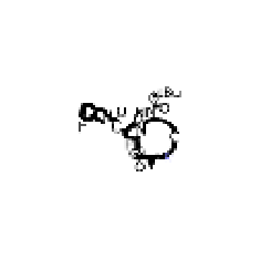 CC(C)(C)OC(=O)N[C@H]1CCCCC/C=C\C2CC23N=C(OC3=O)[C@@H]2C[C@@H](OC(=O)N3Cc4cccc(F)c4C3)CN2C1=O